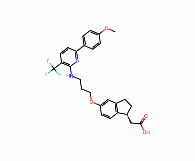 COc1ccc(-c2ccc(C(F)(F)F)c(NCCCOc3ccc4c(c3)CC[C@H]4CC(=O)O)n2)cc1